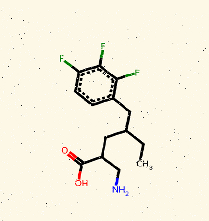 CCC(Cc1ccc(F)c(F)c1F)CC(CN)C(=O)O